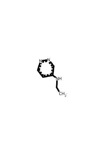 [CH2]CNc1ccnnc1